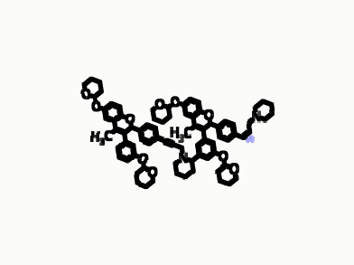 CC1=C(c2cccc(OC3CCCCO3)c2)C(c2ccc(C#CCN3CCCCC3c3cc(OC4CCCCO4)cc(C4=C(C)c5cc(OC6CCCCO6)ccc5OC4c4ccc(/C=C\CN5CCCCC5)cc4)c3)cc2)Oc2ccc(OC3CCCCO3)cc21